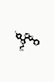 N#CCCn1cc(-c2ncnc3oc(-c4cccnc4)cc23)c(-c2ccc(F)cc2)n1